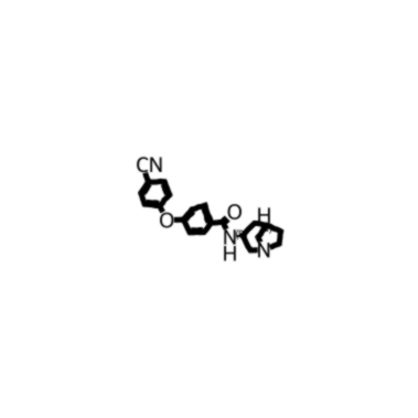 N#Cc1ccc(Oc2ccc(C(=O)N[C@@H]3C[C@@H]4CCN(C4)C3)cc2)cc1